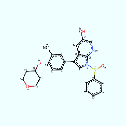 N#Cc1cc(-c2cn([S+]([O-])c3ccccc3)c3ncc(O)cc23)ccc1OC1CCOCC1